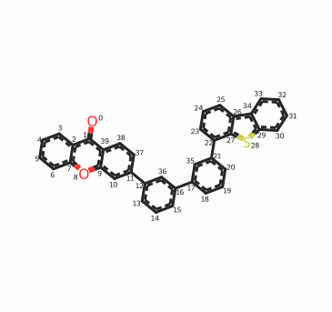 O=c1c2ccccc2oc2cc(-c3cccc(-c4cccc(-c5cccc6c5sc5ccccc56)c4)c3)ccc12